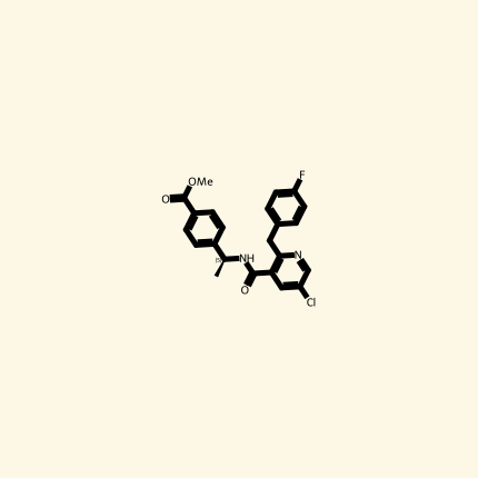 COC(=O)c1ccc([C@H](C)NC(=O)c2cc(Cl)cnc2Cc2ccc(F)cc2)cc1